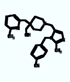 Cc1cccc(CC2(CO)CCN(Cc3cnc(C)n3Cc3ccc(C#N)cc3)CC2)n1